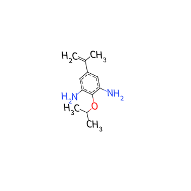 C=C(C)c1cc(N)c(OC(C)C)c(N)c1